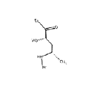 CCC(=O)[C@@H](O)C[C@H](C)NC(C)C